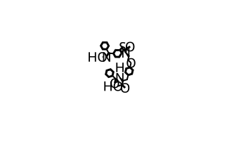 O=C(NC(Cc1ccc(OCCn2c(=O)sc3cc(C(=NO)c4ccccc4)ccc32)cc1)C(=O)O)c1ccccc1